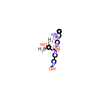 Bc1cc(C[C@@H](OC(=O)N2CCC(N3CCc4ccccc4NC3=O)CC2)C(=O)N2CCC(C3CCN(CCO)CC3)CC2)cc(C)c1O